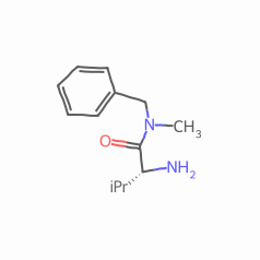 CC(C)[C@@H](N)C(=O)N(C)Cc1ccccc1